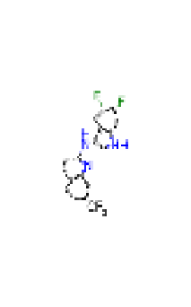 Fc1cc2[nH]cc(Nc3ccc4ccc(C(F)(F)F)cc4n3)c2cc1F